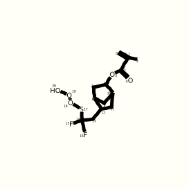 C=C(C)C(=O)OC1CC2CC1CC2CC(F)(F)SOOO